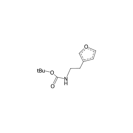 CC(C)(C)OC(=O)NCCc1ccoc1